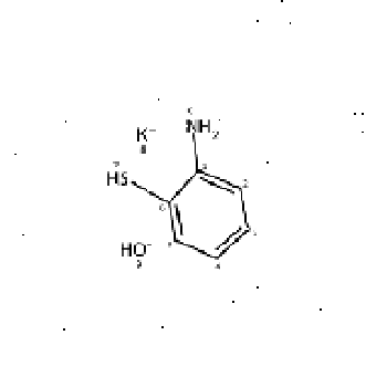 Nc1ccccc1S.[K+].[OH-]